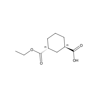 CCOC(=O)[C@@H]1CCC[C@@H](C(=O)O)C1